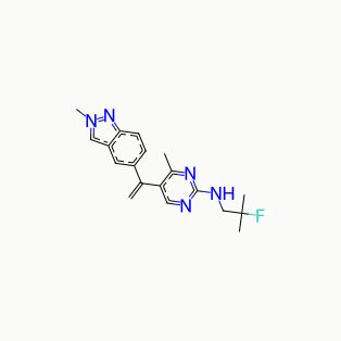 C=C(c1ccc2nn(C)cc2c1)c1cnc(NCC(C)(C)F)nc1C